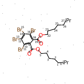 CC(C)CCCCCOC(=O)c1c(Br)c(Br)c(Br)c(Br)c1C(=O)OCCCCCC(C)C